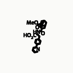 COC(=O)C12CC3CC(CC(C(=O)N[C@@H](Cc4ccc(-c5ccccn5)cc4)C(=O)O)(C3)C1)C2